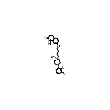 CC(C)[N+]1(CCCCOc2ccc3c(c2)NC(=O)CC3)CCN(c2cccc(Cl)c2Cl)CC1